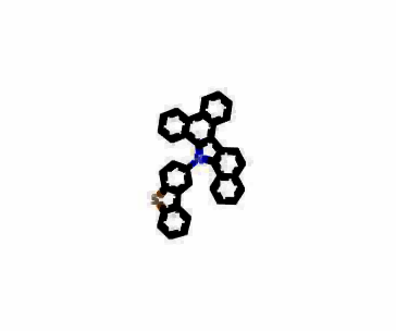 c1ccc2c(c1)ccc1c3c4ccccc4c4ccccc4c3n(-c3ccc4sc5ccccc5c4c3)c21